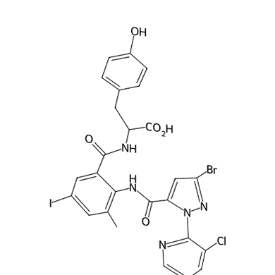 Cc1cc(I)cc(C(=O)NC(Cc2ccc(O)cc2)C(=O)O)c1NC(=O)c1cc(Br)nn1-c1ncccc1Cl